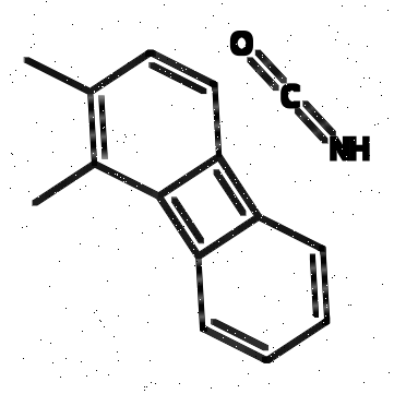 Cc1ccc2c(c1C)=c1ccccc1=2.N=C=O